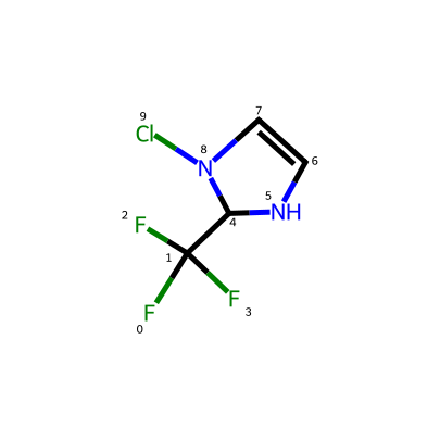 FC(F)(F)C1NC=CN1Cl